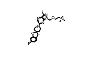 C[Si](C)(C)CCOCn1nc(I)c2ncc(N3CCC4([CH]c5ccc(F)cc5O4)CC3)nc21